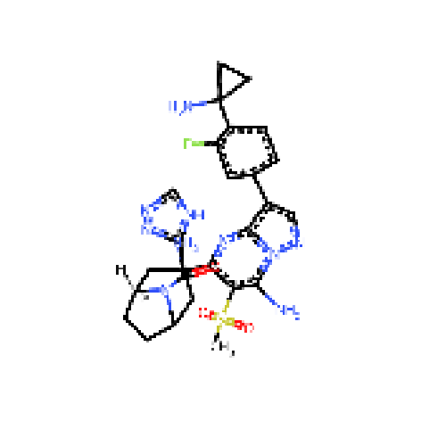 CS(=O)(=O)c1c(C2(N)CC3CC[C@@H](C2)N3C(=O)c2nnc[nH]2)nc2c(-c3ccc(C4(N)CC4)c(F)c3)cnn2c1N